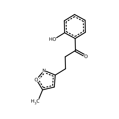 Cc1cc(CCC(=O)c2ccccc2O)no1